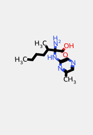 CCCCC(C)C(N)(Nc1cncc(C)n1)C(=O)O